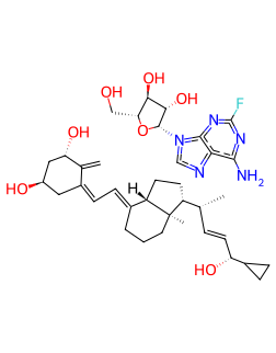 C=C1/C(=C\C=C2/CCC[C@]3(C)[C@@H]([C@H](C)/C=C/[C@@H](O)C4CC4)CC[C@@H]23)C[C@@H](O)C[C@@H]1O.Nc1nc(F)nc2c1ncn2[C@@H]1O[C@H](CO)[C@@H](O)[C@@H]1O